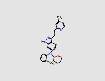 Cc1ccnc(C=Cc2nn(I)c3cc(N(c4ccccc4C(=O)O)C4CCCCO4)ccc23)c1